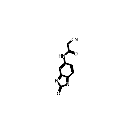 N#CCC(=O)Nc1ccc2c(c1)=NC(=O)N=2